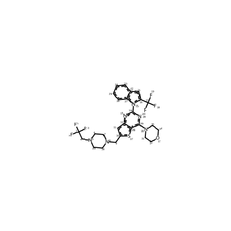 FC(F)(F)CN1CCN(Cc2cc3nc(-n4c(C(F)(F)F)cc5ccccc54)nc(N4CCOCC4)c3s2)CC1